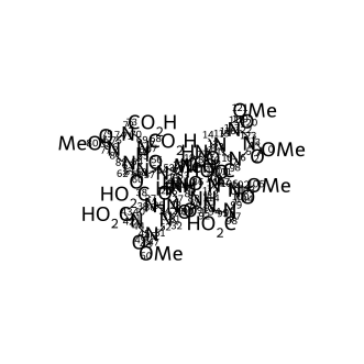 COC(=O)CN1CCN(CC(=O)O)CCN(C(C)C(=O)NCCNCC(CNC(=O)CNC(=O)C(C)N2CCN(CC(=O)O)CCN(CC(=O)O)CCN(CC(=O)OC)CC2)(CNC(=O)CNC(=O)C(C)N2CCN(CC(=O)O)CCN(CC(=O)O)CCN(CC(=O)OC)CC2)CNC(=O)CNC(=O)C(C)N2CCN(CC(=O)O)CCN(CC(=O)OC)CCN(CC(=O)OC)CC2)CCN(CC(=O)OC)CC1